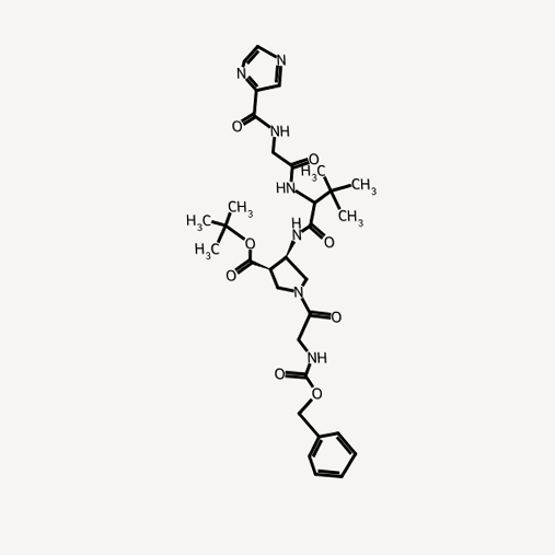 CC(C)(C)OC(=O)[C@@H]1CN(C(=O)CNC(=O)OCc2ccccc2)C[C@@H]1NC(=O)C(NC(=O)CNC(=O)c1cnccn1)C(C)(C)C